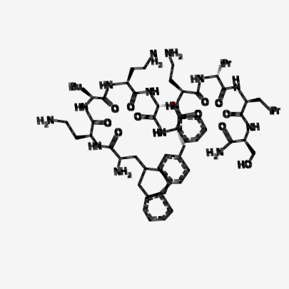 CCC(C)[C@H](NC(=O)[C@H](CCN)NC(=O)C(N)CC1CCCCC1)C(=O)N[C@@H](CCN)C(=O)N[C@H](Cc1ccccc1)C(=O)N[C@@H](Cc1ccc(-c2ccccc2)cc1)C(=O)N[C@@H](CCN)C(=O)N[C@@H](C(=O)N[C@@H](CC(C)C)C(=O)N[C@@H](CO)C(N)=O)C(C)C